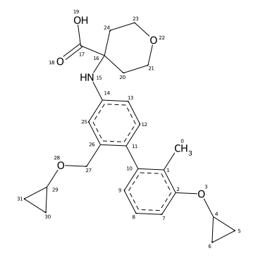 Cc1c(OC2CC2)cccc1-c1ccc(NC2(C(=O)O)CCOCC2)cc1COC1CC1